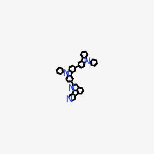 c1ccc(-n2c3ccccc3c3cc(-c4ccc5c(c4)c4cc(-c6cc7cccc8c7c(n6)-c6cnccc6-8)ccc4n5-c4ccccc4)ccc32)cc1